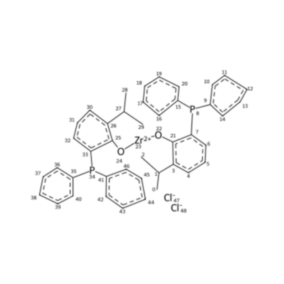 CC(C)c1cccc(P(c2ccccc2)c2ccccc2)c1[O][Zr+2][O]c1c(C(C)C)cccc1P(c1ccccc1)c1ccccc1.[Cl-].[Cl-]